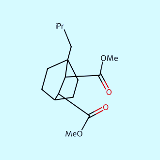 COC(=O)C1C2CCC(CC(C)C)(CC2)C1C(=O)OC